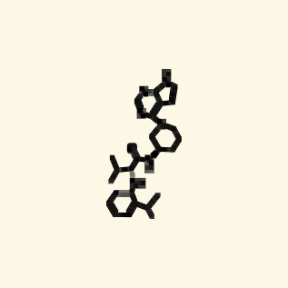 CC(C)c1ccccc1N[C@@H](C(=O)N[C@@H]1CCCN(c2ncnc3[nH]ccc23)C1)C(C)C